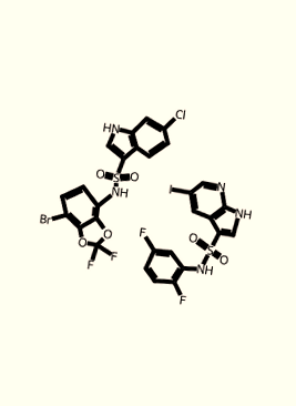 O=S(=O)(Nc1cc(F)ccc1F)c1c[nH]c2ncc(I)cc12.O=S(=O)(Nc1ccc(Br)c2c1OC(F)(F)O2)c1c[nH]c2cc(Cl)ccc12